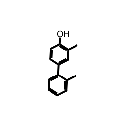 Cc1cc(-c2ccccc2C)ccc1O